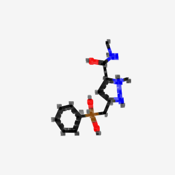 CNC(=O)c1cc(CS(=O)(=O)c2ccccc2)nn1C